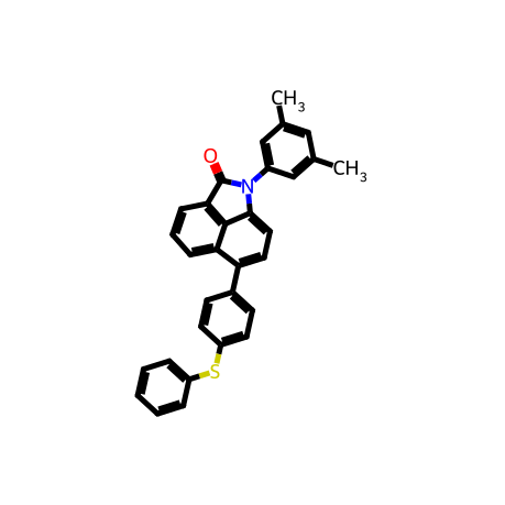 Cc1cc(C)cc(N2C(=O)c3cccc4c(-c5ccc(Sc6ccccc6)cc5)ccc2c34)c1